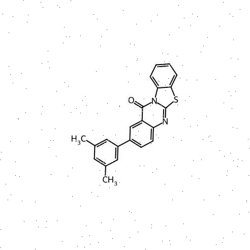 Cc1cc(C)cc(-c2ccc3nc4sc5ccccc5n4c(=O)c3c2)c1